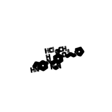 COc1cc2c(Nc3ccc4[nH]ccc4c3)ncnc2cc1OCCCN1CCCC1.Cl